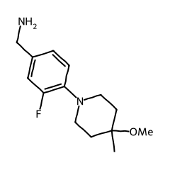 COC1(C)CCN(c2ccc(CN)cc2F)CC1